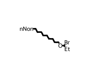 CCCCCCCCCCCCCCCCCCOC(Br)CC